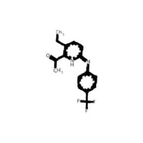 CCc1ccc(=Nc2ccc(C(F)(F)F)cc2)[nH]c1C(C)=O